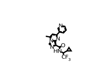 Cc1cc(-c2cccnc2)nc2c(C(=O)NC(C3CC3)C(F)(F)F)ncn12